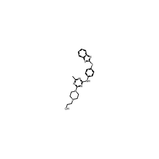 Cc1nc(Nc2ccc(Sc3nc4ccccc4s3)cc2)nc(N2CCN(CCO)CC2)n1